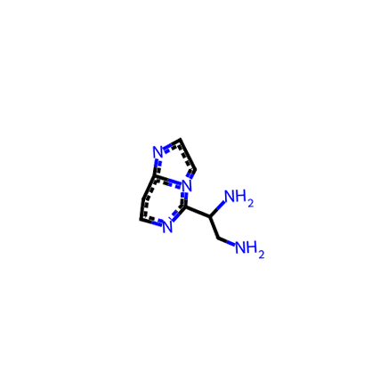 NCC(N)c1nccc2nccn12